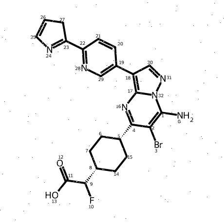 Nc1c(Br)c([C@H]2CC[C@@H](C(F)C(=O)O)CC2)nc2c(-c3ccc(C4=NC=CC4)nc3)cnn12